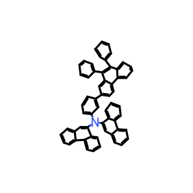 c1ccc(-c2c(-c3ccccc3)c3cc(-c4cccc(N(c5cc6ccccc6c6ccccc56)c5cc6ccccc6c6ccccc56)c4)ccc3c3ccccc23)cc1